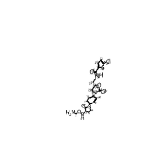 NCOB[C@@H]1CCN(c2ccc(N3C[C@H](CNC(=O)c4ccc(Cl)s4)OC3=O)cc2)C1=O